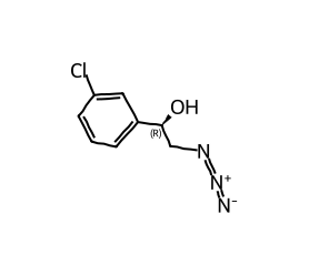 [N-]=[N+]=NC[C@H](O)c1cccc(Cl)c1